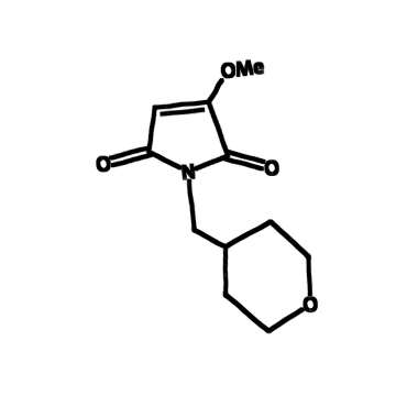 COC1=CC(=O)N(CC2CCOCC2)C1=O